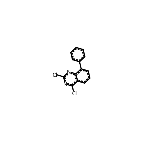 Clc1nc(Cl)c2cccc(-c3ccccc3)c2n1